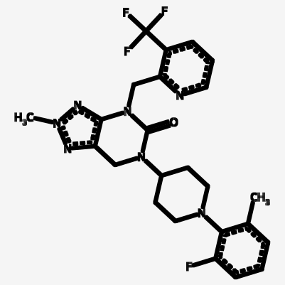 Cc1cccc(F)c1N1CCC(N2Cc3nn(C)nc3N(Cc3ncccc3C(F)(F)F)C2=O)CC1